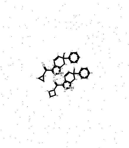 CC1(c2ccccc2)C=Cc2c(C(=O)C3CC3)n[nH]c2C1.CC1(c2ccccc2)C=Cc2c(C(=O)C3CCC3)n[nH]c2C1